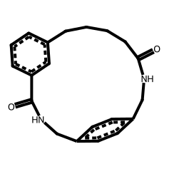 O=C1CCCCc2cccc(c2)C(=O)NCc2ccc(cc2)CN1